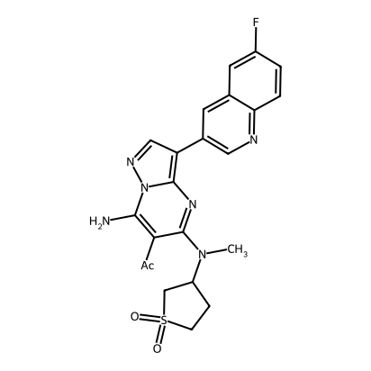 CC(=O)c1c(N(C)C2CCS(=O)(=O)C2)nc2c(-c3cnc4ccc(F)cc4c3)cnn2c1N